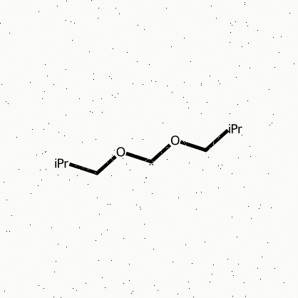 CC(C)CO[C]OCC(C)C